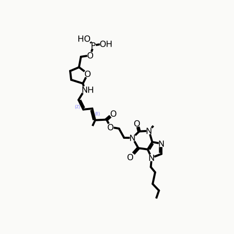 CCCCCn1cnc2c1c(=O)n(CCOC(=O)/C(C)=C/C=C\NC1CCC(COP(O)O)O1)c(=O)n2C